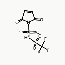 O=C1C=CC(=O)N1S(=O)(=O)NS(=O)(=O)C(F)(F)F